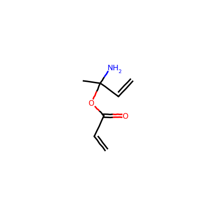 C=CC(=O)OC(C)(N)C=C